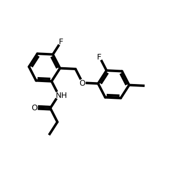 CCC(=O)Nc1cccc(F)c1COc1ccc(C)cc1F